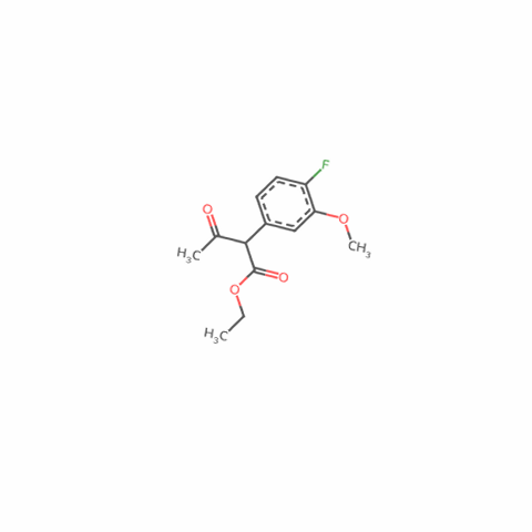 CCOC(=O)C(C(C)=O)c1ccc(F)c(OC)c1